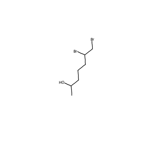 CC(O)CCCC(Br)CBr